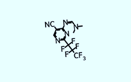 CN(C)/C=N\c1nc(C(F)(F)C(F)(F)C(F)(F)F)ncc1C#N